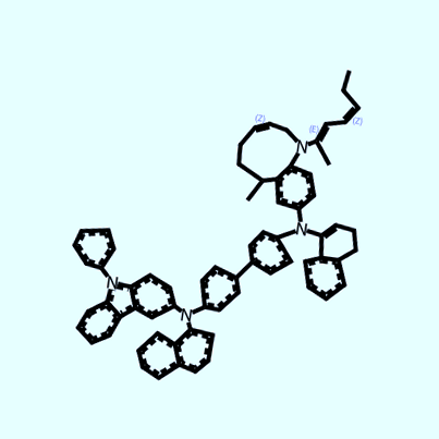 CC/C=C\C=C(/C)N1C/C=C\CCC(C)c2cc(N(C3=CCCc4ccccc43)c3ccc(-c4ccc(N(c5ccc6c(c5)c5ccccc5n6-c5ccccc5)c5cccc6ccccc56)cc4)cc3)ccc21